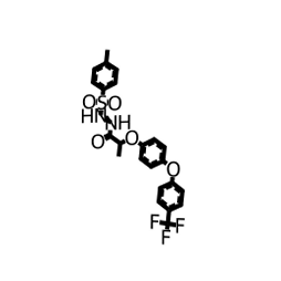 Cc1ccc(S(=O)(=O)NNC(=O)C(C)Oc2ccc(Oc3ccc(C(F)(F)F)cc3)cc2)cc1